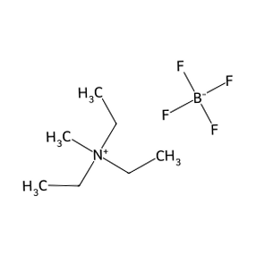 CC[N+](C)(CC)CC.F[B-](F)(F)F